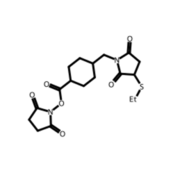 CCSC1CC(=O)N(CC2CCC(C(=O)ON3C(=O)CCC3=O)CC2)C1=O